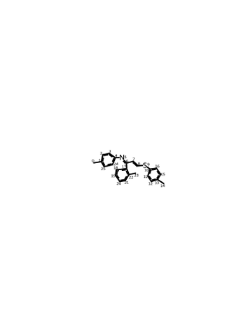 Cc1ccc(/N=C(/C=C/Sc2ccc(C)cc2)c2ccccc2C)cc1